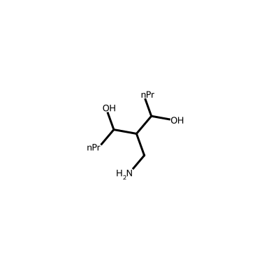 CCCC(O)C(CN)C(O)CCC